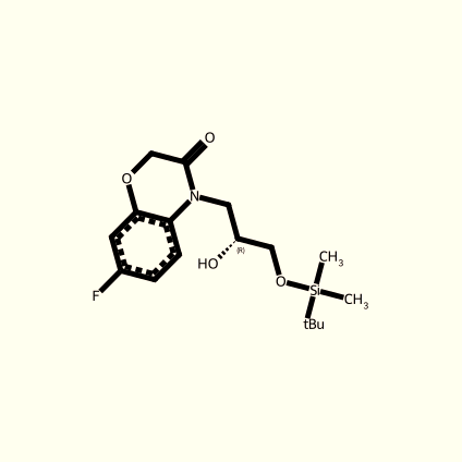 CC(C)(C)[Si](C)(C)OC[C@H](O)CN1C(=O)COc2cc(F)ccc21